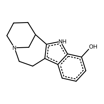 Oc1cccc2c3c([nH]c12)C1CCCN(CC3)C1